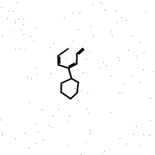 C=C/C=C(\C=C/C)C1CCCCC1